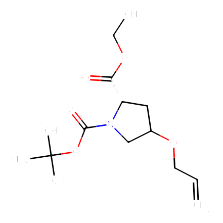 C=CCOC1C[C@@H](C(=O)OCC)N(C(=O)OC(C)(C)C)C1